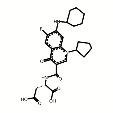 O=C(O)C[C@H](NC(=O)c1cn(C2CCCC2)c2cc(NC3CCCCC3)c(F)cc2c1=O)C(=O)O